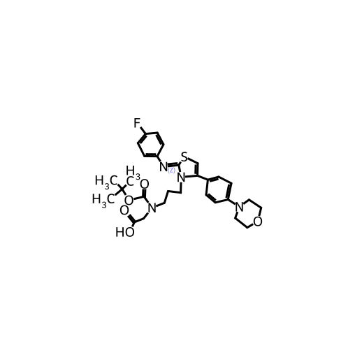 CC(C)(C)OC(=O)N(CCCn1c(-c2ccc(N3CCOCC3)cc2)cs/c1=N\c1ccc(F)cc1)CC(=O)O